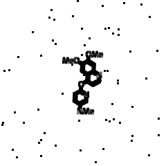 CNc1ccc(Oc2ccnc3cc(OC)c(OC)cc23)nc1